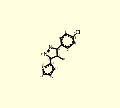 CC1C(c2ccc(Cl)cc2)N=NC1c1cccs1